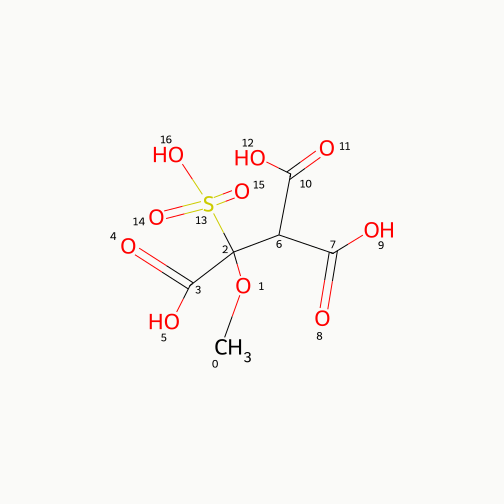 COC(C(=O)O)(C(C(=O)O)C(=O)O)S(=O)(=O)O